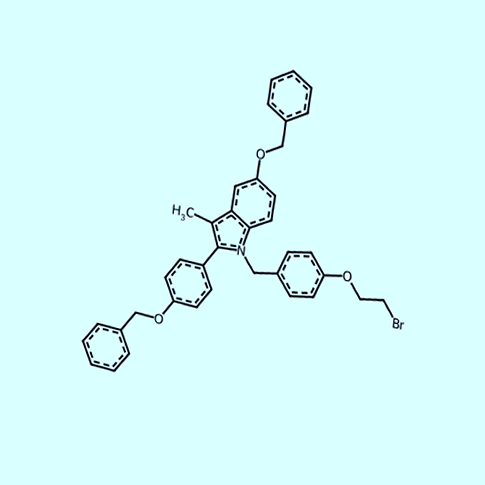 Cc1c(-c2ccc(OCc3ccccc3)cc2)n(Cc2ccc(OCCBr)cc2)c2ccc(OCc3ccccc3)cc12